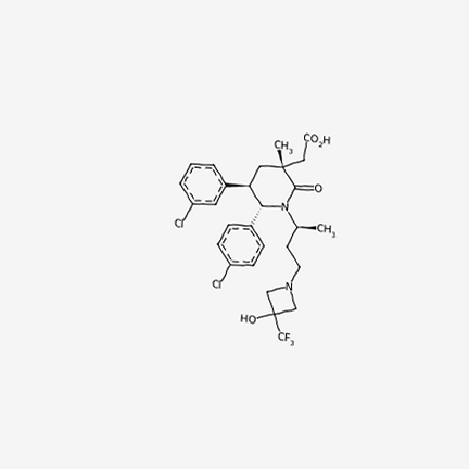 C[C@@H](CCN1CC(O)(C(F)(F)F)C1)N1C(=O)[C@@](C)(CC(=O)O)C[C@H](c2cccc(Cl)c2)[C@H]1c1ccc(Cl)cc1